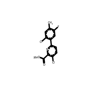 COC(=O)c1nc(-c2cc(F)c(C)cc2Cl)ccc1Cl